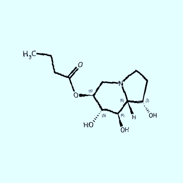 CCCC(=O)O[C@H]1CN2CC[C@H](O)[C@@H]2[C@@H](O)[C@@H]1O